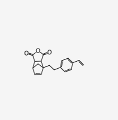 C=Cc1ccc(CCC23C=CC(C2)C2C(=O)OC(=O)C23)cc1